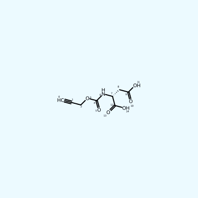 C#CCOC(=O)N[C@H](CC(=O)O)C(=O)O